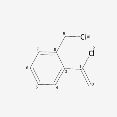 C=C(Cl)c1ccccc1CCl